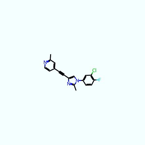 Cc1cc(C#Cc2cn(-c3ccc(F)c(Cl)c3)c(C)n2)ccn1